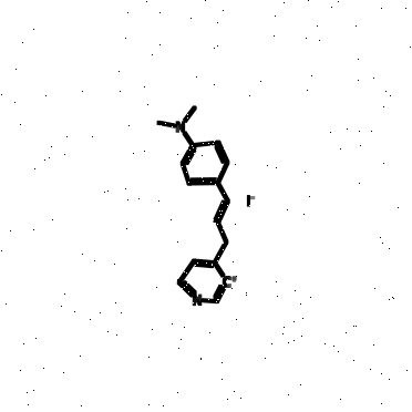 CN(C)c1ccc(C=CCC2=CC=NC=[C+]2)cc1.[I-]